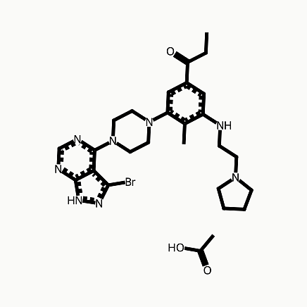 CC(=O)O.CCC(=O)c1cc(NCCN2CCCC2)c(C)c(N2CCN(c3ncnc4[nH]nc(Br)c34)CC2)c1